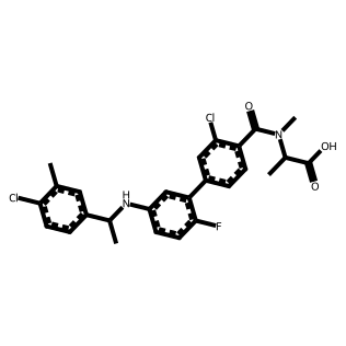 Cc1cc(C(C)Nc2ccc(F)c(-c3ccc(C(=O)N(C)C(C)C(=O)O)c(Cl)c3)c2)ccc1Cl